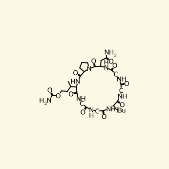 CC[C@H](C)C1NC(=O)CNC(=O)CNC(=O)C(C(C)CCOC(N)=O)NC(=O)C2CCCN2C(=O)C(CC(N)=O)NC(=O)CNC(=O)CNC1=O